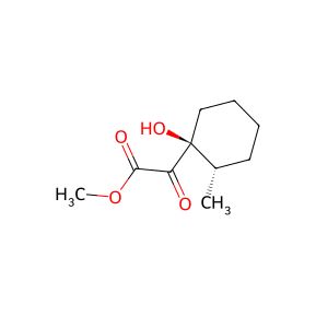 COC(=O)C(=O)[C@]1(O)CCCC[C@@H]1C